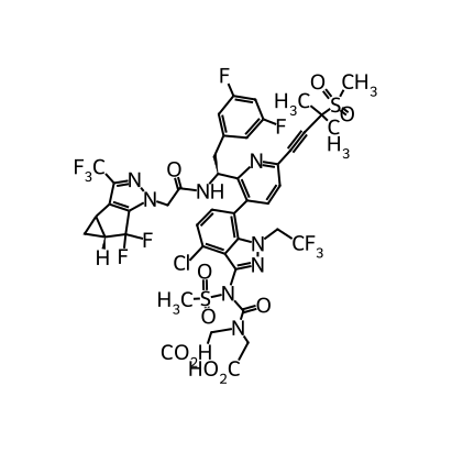 CC(C)(C#Cc1ccc(-c2ccc(Cl)c3c(N(C(=O)N(CC(=O)O)CC(=O)O)S(C)(=O)=O)nn(CC(F)(F)F)c23)c([C@H](Cc2cc(F)cc(F)c2)NC(=O)Cn2nc(C(F)(F)F)c3c2C(F)(F)[C@@H]2CC32)n1)S(C)(=O)=O